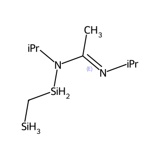 C/C(=N\C(C)C)N([SiH2]C[SiH3])C(C)C